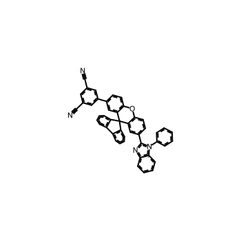 N#Cc1cc(C#N)cc(-c2ccc3c(c2)C2(c4cc(-c5nc6ccccc6n5-c5ccccc5)ccc4O3)c3ccccc3-c3ccccc32)c1